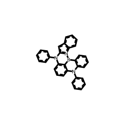 c1ccc(N2c3ccccc3B3c4c2cccc4N(c2ccccc2)c2cc4ccccc4n23)cc1